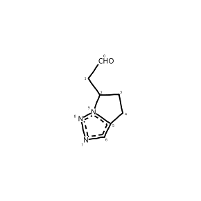 O=CCC1CCc2cnnn21